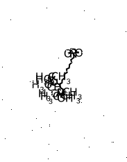 CC1(C)CC(C(CCCCCCCCCCCN2C(=O)CCC2=O)C2CC(C)(C)N(O)C(C)(C)C2)CC(C)(C)N1O